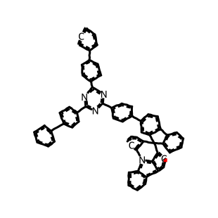 c1ccc(-c2ccc(-c3nc(-c4ccc(-c5ccccc5)cc4)nc(-c4ccc(-c5ccc6c(c5)C5(c7ccccc7-6)c6ccccc6-n6c7ccccc7c7cccc5c76)cc4)n3)cc2)cc1